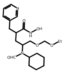 CCOCOCC(CC(Cc1cccnc1)C(=O)NO)N(C=O)C1CCCCC1